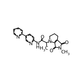 CC(C(=O)Nc1ccc(-c2ccccn2)cn1)N1CCCC2=C1C(=O)N(C)C2=O